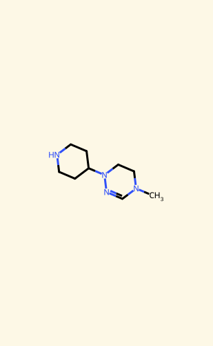 CN1C=NN(C2CCNCC2)CC1